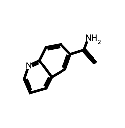 C=C(N)c1ccc2ncccc2c1